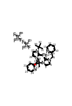 CC(C)(C)n1ccn(Cc2ccccn2)[c]1=[Fe+2]=[c]1n(Cc2ccccn2)ccn1C(C)(C)C.F[B-](F)(F)F.F[B-](F)(F)F